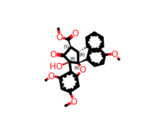 COC(=O)[C@@H]1C(=O)[C@@]2(O)c3c(OC)cc(OC)cc3O[C@@]2(c2ccc(OC)cc2)[C@H]1c1ccccc1